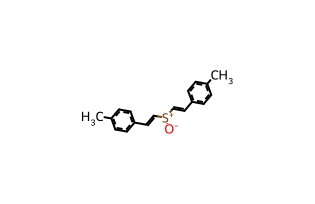 Cc1ccc(C=C[S+]([O-])C=Cc2ccc(C)cc2)cc1